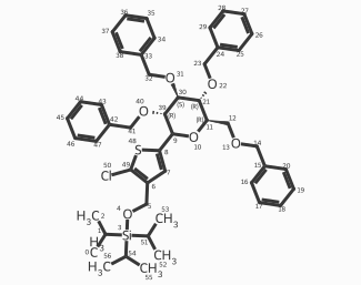 CC(C)[Si](OCc1cc(C2O[C@H](COCc3ccccc3)[C@@H](OCc3ccccc3)[C@H](OCc3ccccc3)[C@H]2OCc2ccccc2)sc1Cl)(C(C)C)C(C)C